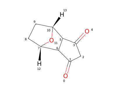 O=C1CC(=O)C2C1[C@@H]1CC[C@H]2O1